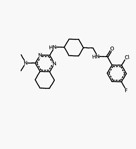 CN(C)c1nc(NC2CCC(CNC(=O)c3ccc(F)cc3Cl)CC2)nc2c1CCCC2